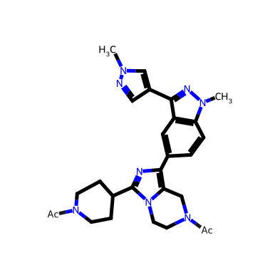 CC(=O)N1CCC(c2nc(-c3ccc4c(c3)c(-c3cnn(C)c3)nn4C)c3n2CCN(C(C)=O)C3)CC1